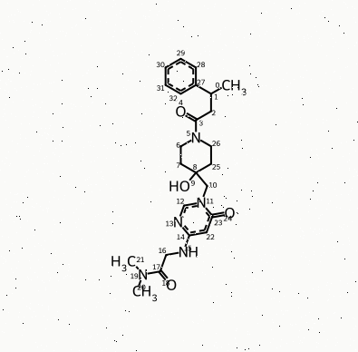 CC(CC(=O)N1CCC(O)(Cn2cnc(NCC(=O)N(C)C)cc2=O)CC1)c1ccccc1